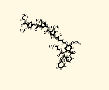 C=CCOC(=O)N1c2cc(OCCCC(=O)Nc3cc(C(=O)Nc4cc(C(=O)Oc5cn(C)c(C(=O)OCC)n5)n(C)c4)n(C)c3)c(OC)cc2C(=O)N2CCC[C@H]2C1OC1CCCCO1